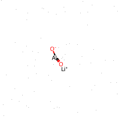 [Li+].[O]=[Al][O-]